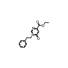 CCOC(=O)c1cc(=O)n(CCc2ccccc2)cn1